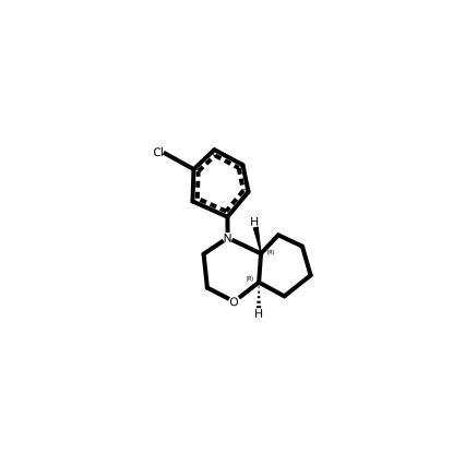 Clc1cccc(N2CCO[C@@H]3CCCC[C@H]32)c1